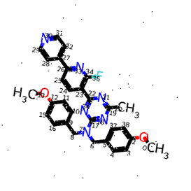 COc1ccc(CN(Cc2ccc(OC)cc2)c2nc(C)nc(-c3ccc(-c4ccncc4)nc3F)n2)cc1